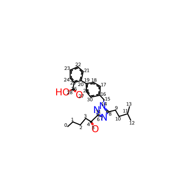 CCCCC(=O)c1nc(CCC(C)C)n(Cc2ccc(-c3ccccc3C(=O)O)cc2)n1